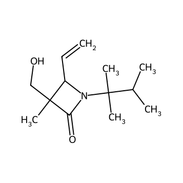 C=CC1N(C(C)(C)C(C)C)C(=O)C1(C)CO